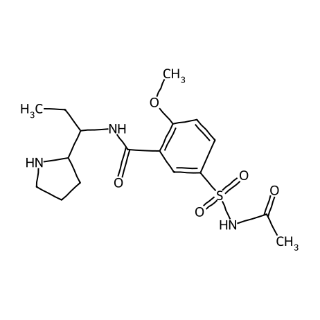 CCC(NC(=O)c1cc(S(=O)(=O)NC(C)=O)ccc1OC)C1CCCN1